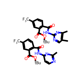 Cc1cnc(NC(=O)c2ccc(C(F)(F)F)cc2C(=O)OC(C)(C)C)nc1C.Cc1nccc(NC(=O)c2ccc(C(F)(F)F)cc2C(=O)OC(C)(C)C)n1